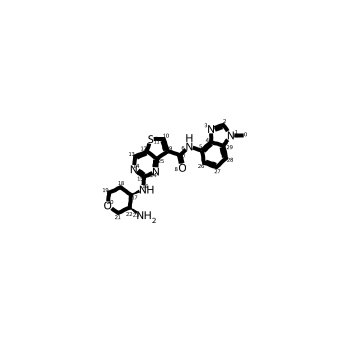 Cn1cnc2c(NC(=O)c3csc4cnc(N[C@@H]5CCOC[C@@H]5N)nc34)cccc21